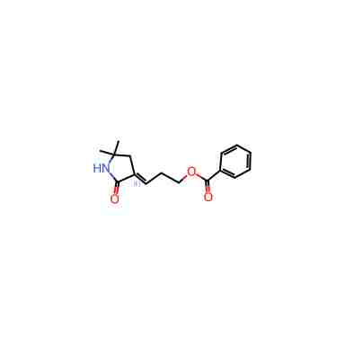 CC1(C)C/C(=C\CCOC(=O)c2ccccc2)C(=O)N1